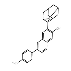 O=C(O)c1ccc(-c2ccc3cc(O)c(C4=C5CC6CC(C5)CC4C6)cc3c2)cc1